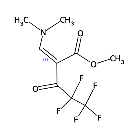 COC(=O)/C(=C\N(C)C)C(=O)C(F)(F)C(F)(F)F